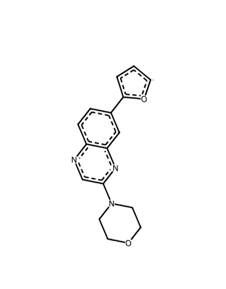 [c]1ccc(-c2ccc3ncc(N4CCOCC4)nc3c2)o1